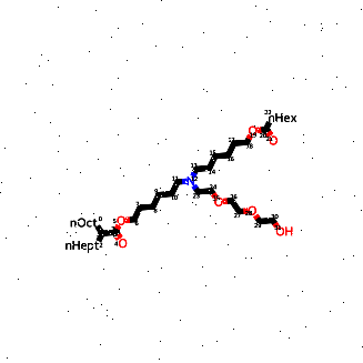 CCCCCCCCC(CCCCCCC)C(=O)OCCCCCCN(CCCCCCOC(=O)CCCCCC)CCOCCOCCO